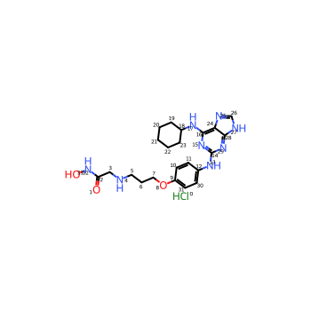 Cl.O=C(CNCCCOc1ccc(Nc2nc(NC3CCCCC3)c3nc[nH]c3n2)cc1)NO